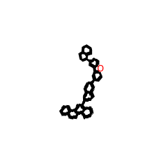 c1ccc2c(-c3ccc4oc5ccc(-c6ccc7cc(-c8cc9c%10ccccc%10ccc9c9ccccc89)ccc7c6)cc5c4c3)cccc2c1